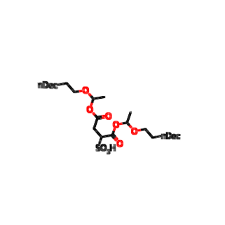 CCCCCCCCCCCCOC(C)OC(=O)CC(C(=O)OC(C)OCCCCCCCCCCCC)S(=O)(=O)O